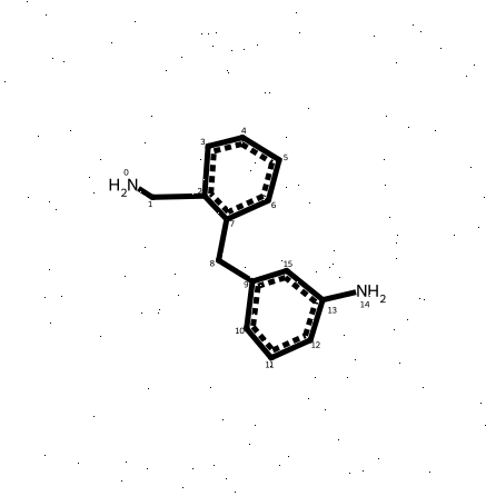 NCc1c[c]ccc1Cc1cccc(N)c1